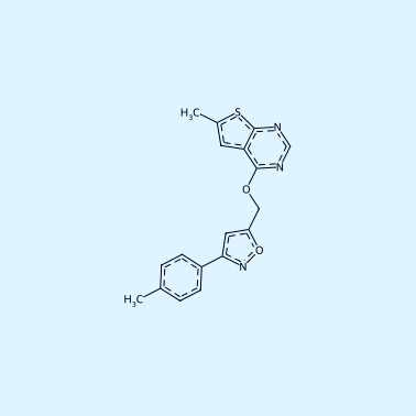 Cc1ccc(-c2cc(COc3ncnc4sc(C)cc34)on2)cc1